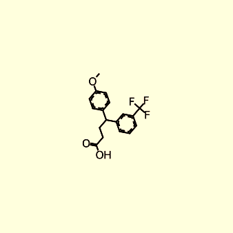 COc1ccc(C(CCC(=O)O)c2cccc(C(F)(F)F)c2)cc1